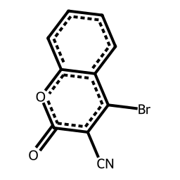 N#Cc1c(Br)c2ccccc2oc1=O